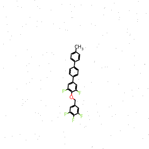 Cc1ccc(-c2ccc(-c3cc(F)c(OCc4cc(F)c(F)c(F)c4)c(F)c3)cc2)cc1